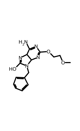 COCCOC1=NC2C(N=C(O)N2Cc2ccccc2)C(N)=N1